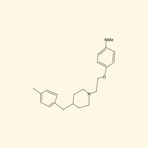 CNc1ccc(OCCN2CCC(Cc3ccc(C)cc3)CC2)cc1